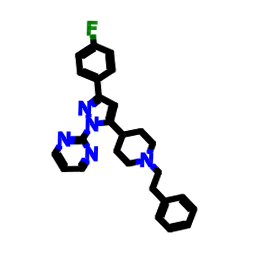 Fc1ccc(-c2cc(C3CCN(CCc4ccccc4)CC3)n(-c3ncccn3)n2)cc1